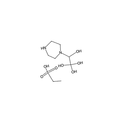 CCS(=O)(=O)O.OC(N1CCNCC1)C(O)(O)O